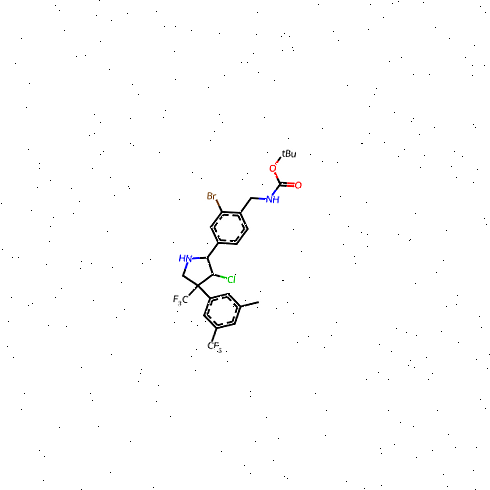 Cc1cc(C(F)(F)F)cc(C2(C(F)(F)F)CNC(c3ccc(CNC(=O)OC(C)(C)C)c(Br)c3)C2Cl)c1